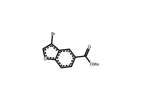 COC(=O)c1ccc2occ(Br)c2c1